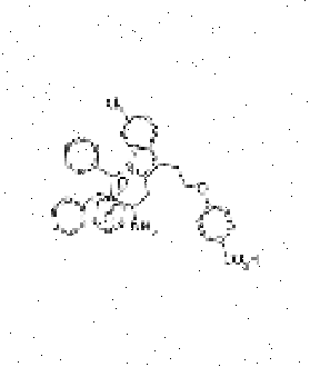 NC(Cc1c(CCOc2ccc(C(=O)O)cc2)c2ccc(Cl)cc2n1C(c1ccccc1)c1ccccc1)S(=O)(=O)Cc1ccccc1